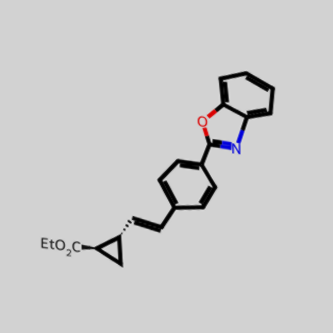 CCOC(=O)[C@@H]1C[C@H]1C=Cc1ccc(-c2nc3ccccc3o2)cc1